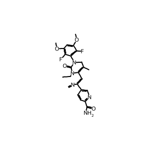 C=N/C(=C\C1=C(C)CN(c2c(F)c(OC)cc(OC)c2F)C(=O)N1CC)c1ccc(C(N)=O)nc1